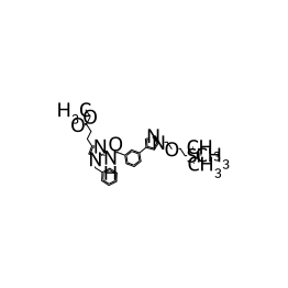 COC(=O)CCc1cn(Cc2ccccc2)c(NC(=O)c2cccc(-c3cnn(COCC[Si](C)(C)C)c3)c2)n1